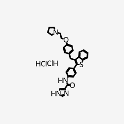 Cl.Cl.O=C(Nc1ccc(-c2sc3ccccc3c2Cc2ccc(OCCN3CCCC3)cc2)cc1)c1c[nH]cn1